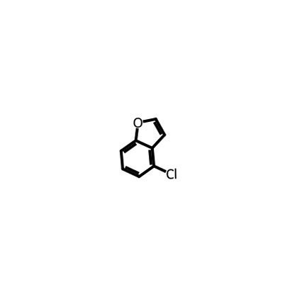 Clc1cccc2occc12